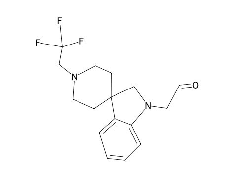 O=CCN1CC2(CCN(CC(F)(F)F)CC2)c2ccccc21